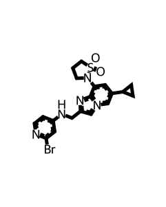 O=S1(=O)CCCN1c1cc(C2CC2)cn2cc(CNc3ccnc(Br)c3)nc12